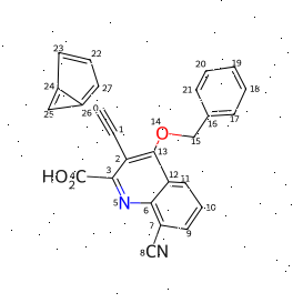 C#Cc1c(C(=O)O)nc2c(C#N)cccc2c1OCc1ccccc1.c1cc2cc-2c1